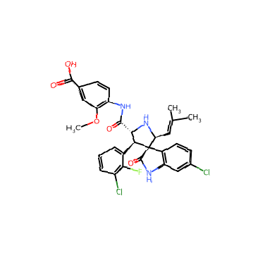 COc1cc(C(=O)O)ccc1NC(=O)[C@@H]1N[C@@H](C=C(C)C)[C@@]2(C(=O)Nc3cc(Cl)ccc32)[C@H]1c1cccc(Cl)c1F